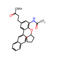 COC(=O)CCc1cc(NC(=O)C(F)(F)F)c(OC2CCCC2)c(-c2ccc3ccccc3c2)c1